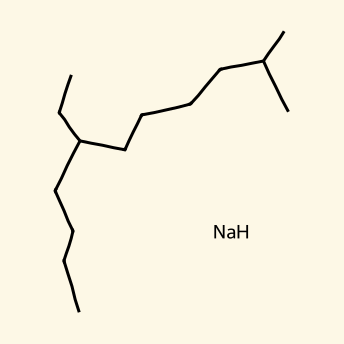 CCCCC(CC)CCCCC(C)C.[NaH]